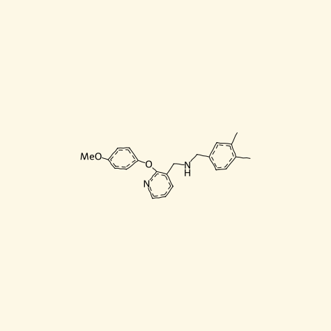 COc1ccc(Oc2ncccc2CNCc2ccc(C)c(C)c2)cc1